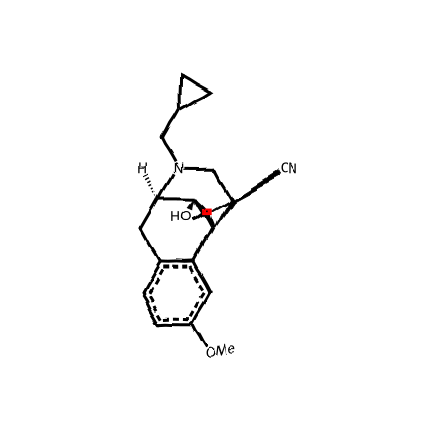 COc1ccc2c(c1)[C@]13CCN(CC4CC4)[C@H](C2)[C@]1(O)C[C@H](C#N)C3